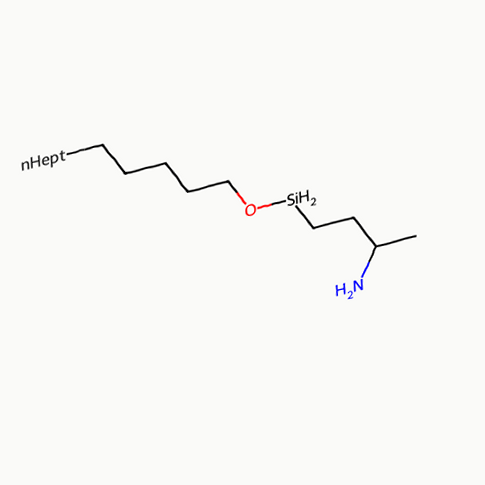 CCCCCCCCCCCCO[SiH2]CCC(C)N